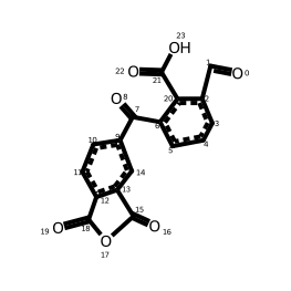 O=Cc1cccc(C(=O)c2ccc3c(c2)C(=O)OC3=O)c1C(=O)O